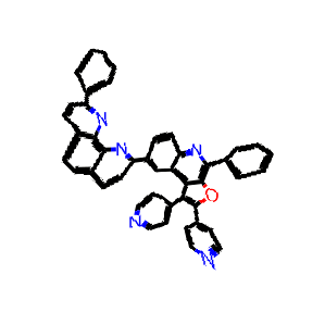 c1ccc(-c2ccc3ccc4ccc(-c5ccc6nc(-c7ccccc7)c7oc(-c8ccncc8)c(-c8ccncc8)c7c6c5)nc4c3n2)cc1